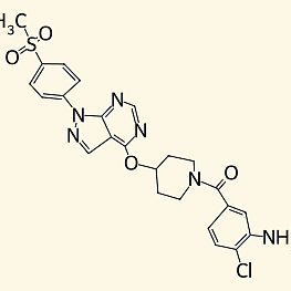 CS(=O)(=O)c1ccc(-n2ncc3c(OC4CCN(C(=O)c5ccc(Cl)c(N)c5)CC4)ncnc32)cc1